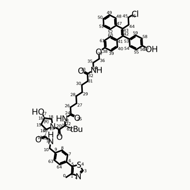 Cc1ncsc1-c1ccc(CNC(=O)[C@@H]2C[C@@H](O)CN2C(=O)[C@@H](NC(=O)CCCCCCC(=O)NCCOc2ccc(C(=C(CCCl)c3ccccc3)c3ccc(O)cc3)cc2)C(C)(C)C)cc1